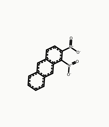 O=[N+]([O-])c1ccc2cc3ccccc3cc2c1[N+](=O)[O-]